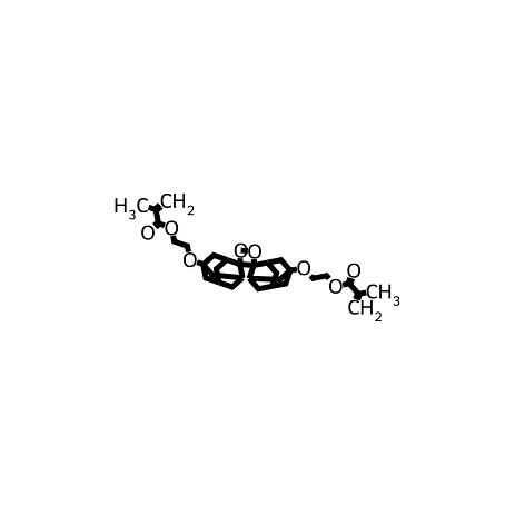 C=C(C)C(=O)OCCOC12CC3CC(C1)C1(OOC14C1CC5CC4CC(OCCOC(=O)C(=C)C)(C5)C1)C(C3)C2